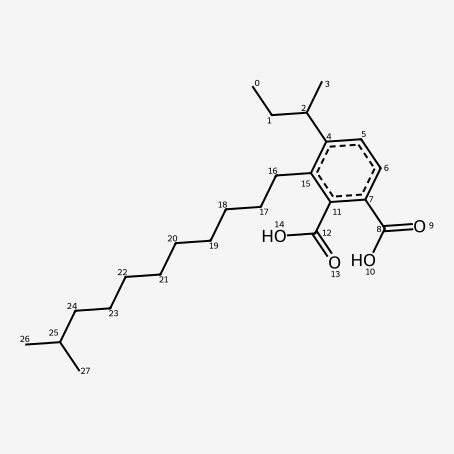 CCC(C)c1ccc(C(=O)O)c(C(=O)O)c1CCCCCCCCCC(C)C